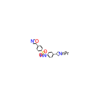 CCCN1CC(c2ccc(NS(=O)(=O)c3ccc(-c4cnco4)cc3)cc2)C1